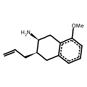 C=CC[C@@H]1Cc2cccc(OC)c2C[C@@H]1N